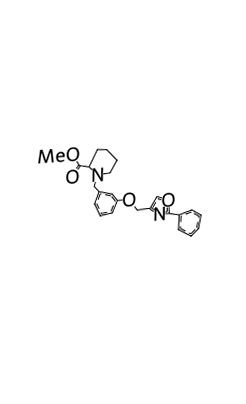 COC(=O)C1CCCCN1Cc1cccc(OCc2coc(-c3ccccc3)n2)c1